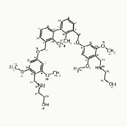 COc1cc(OCc2cccc(-c3cccc(COc4cc(OC)c(CNCCO)c(OC)c4)c3C)c2C)cc(OC)c1CNCCO